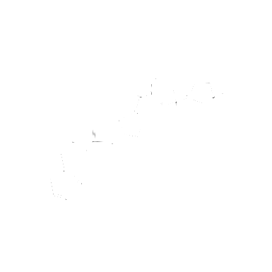 CC(C)(C=C(C#N)C(=O)N1CC[C@H](NC(=O)NC(Cc2ccccc2)B(O)O)C1)N1CCC(F)(F)C1